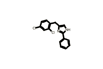 Clc1ccc(Cc2c[nH]c(-c3ccccc3)n2)c(Cl)c1